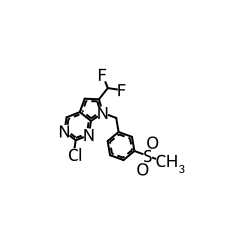 CS(=O)(=O)c1cccc(Cn2c(C(F)F)cc3cnc(Cl)nc32)c1